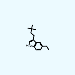 CCc1ccc2[nH]cc(CCC(C)(C)C)c2c1